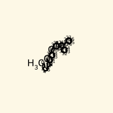 CCN1CCCC1CN(C=O)Cc1ccc(OC2CCN(CC(c3ccccc3)c3ccccc3)CC2)cc1